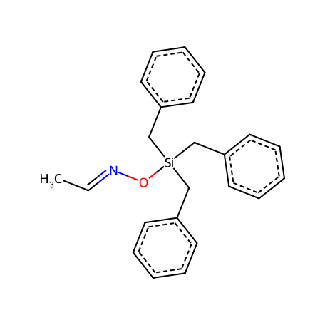 CC=NO[Si](Cc1ccccc1)(Cc1ccccc1)Cc1ccccc1